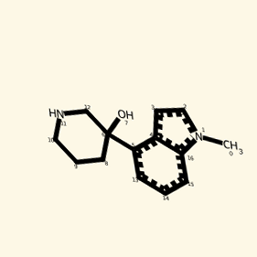 Cn1ccc2c(C3(O)CCCNC3)cccc21